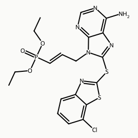 CCOP(=O)(C=CCn1c(Sc2nc3cccc(Cl)c3s2)nc2c(N)ncnc21)OCC